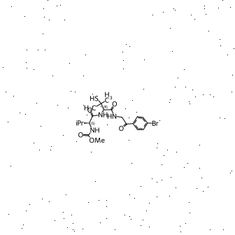 COC(=O)N[C@H](C(=O)N[C@H](C(=O)NCC(=O)c1ccc(Br)cc1)C(C)(C)S)C(C)C